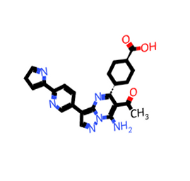 CC(=O)c1c(N)n2ncc(-c3ccc(C4=CCC=N4)nc3)c2nc1[C@H]1CC[C@H](C(=O)O)CC1